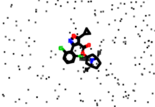 O=C(O[C@H]1C[C@H]2CC[C@@H](C1)N2C(=O)O)c1c(-c2c(Cl)cccc2Cl)noc1C1CC1